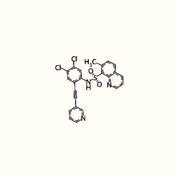 Cc1ccc2cccnc2c1S(=O)(=O)Nc1cc(Cl)c(Cl)cc1C#Cc1cccnc1